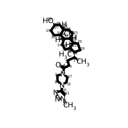 CC(CCC(=O)N1CCN(c2cn(C)nn2)CC1)[C@H]1CC[C@H]2[C@@H]3CC[C@H]4C[C@@H](O)CC[C@]4(C)[C@H]3CC[C@]12C